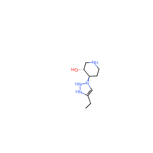 CCC1=CN([C@@H]2CCNC[C@H]2O)NN1